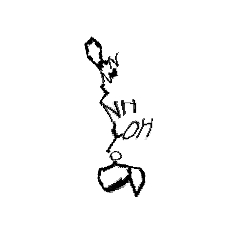 OC(CNCCCn1cnc2ccccc21)COc1cccc2c1C=CC2